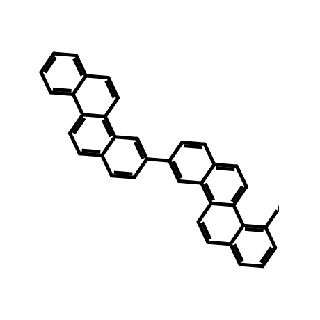 Ic1cccc2ccc3c4cc(-c5ccc6ccc7c8ccccc8ccc7c6c5)ccc4ccc3c12